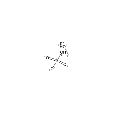 CO.O=S(=O)([O-])O.[K+]